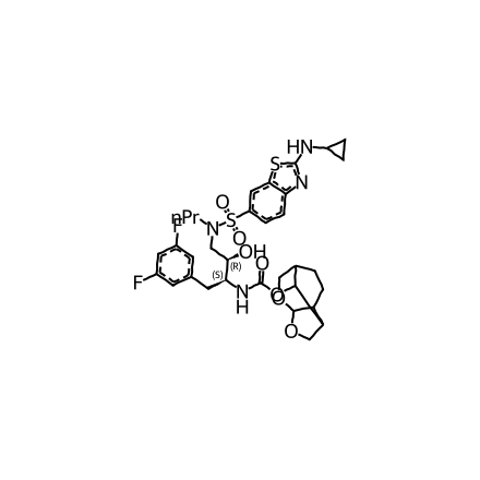 CCCN(C[C@@H](O)[C@H](Cc1cc(F)cc(F)c1)NC(=O)OC1C2CCC3C(OC2)OCC31)S(=O)(=O)c1ccc2nc(NC3CC3)sc2c1